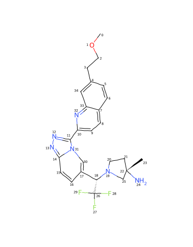 COCCc1ccc2ccc(-c3nnc4ccc([C@H](N5CC[C@](C)(N)C5)C(F)(F)F)cn34)nc2c1